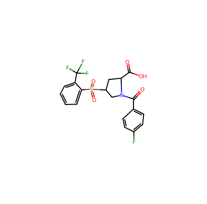 O=C(O)C1CC(S(=O)(=O)c2ccccc2C(F)(F)F)CN1C(=O)c1ccc(F)cc1